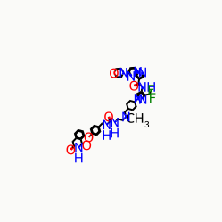 CN(CCNC(=O)NCc1ccc(Oc2cccc3c2C(=O)NC(=O)C3)cc1)CC1CCC(n2cc(NC(=O)c3cnn4ccc(N5CCOCC5)nc34)c(C(F)F)n2)CC1